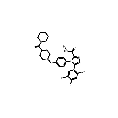 CCNC(=O)c1nnc(-c2cc(C(C)C)c(O)cc2O)n1-c1ccc(CN2CCC(C(=O)N3CC[CH]CC3)CC2)cc1